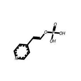 O=P(O)(O)OC=Cc1ccncc1